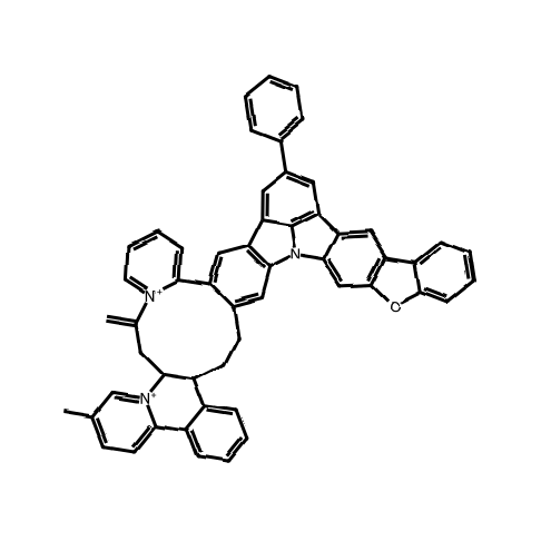 C=C1CC2C(CCc3cc4c(cc3-c3cccc[n+]31)c1cc(-c3ccccc3)cc3c5cc6c(cc5n4c13)oc1ccccc16)c1ccccc1-c1ccc(C)c[n+]12